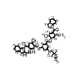 COc1cc(C(=O)N2c3ccccc3C[C@H]2C)c(N)cc1OCc1cc(COc2cc3c(cc2OC)C(=O)N2c4ccccc4C[C@H]2CN3)cc(N(C)CC(C)(C)SSC)c1